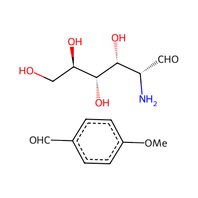 COc1ccc(C=O)cc1.N[C@@H](C=O)[C@@H](O)[C@H](O)[C@H](O)CO